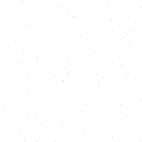 CCCN(CC1CC(c2ccc(C(F)(F)F)cc2)CN(C(=O)N2CCS(O)(O)CC2)C1)C(=O)O